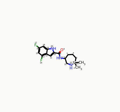 C[Si]1(C)CCCC(NC(=O)c2cc3c(F)cc(F)cc3[nH]2)CN1